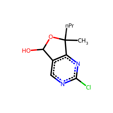 CCCC1(C)OC(O)c2cnc(Cl)nc21